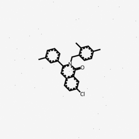 Cc1cccc(-c2cc3ccc(Cl)cc3c(=O)n2Cc2ccc(C)cc2C)c1